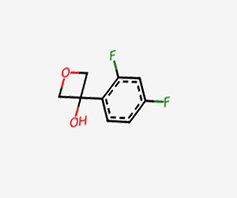 OC1(c2ccc(F)cc2F)COC1